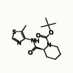 Cc1scnc1NC(=O)[C@@H]1CCCCN1C(=O)OC(C)(C)C